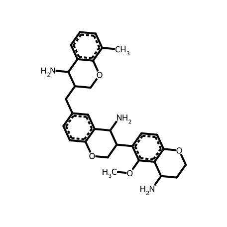 COc1c(C2COc3ccc(CC4COc5c(C)cccc5C4N)cc3C2N)ccc2c1C(N)CCO2